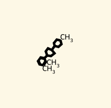 Cc1cccc(C2CCC(C3CCC(C)CC3)CC2)c1C